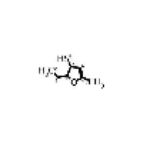 CCC1OC(C)=CC1S